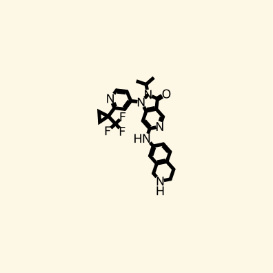 CC(C)n1c(=O)c2cnc(Nc3ccc4c(c3)CNCC4)cc2n1-c1ccnc(C2(C(F)(F)F)CC2)c1